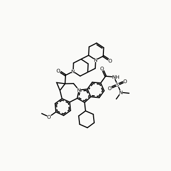 COc1ccc2c(c1)C1CC1(C(=O)N1CC3CC(C1)C1CC=CC(=O)N1C3)Cn1c-2c(C2CCCCC2)c2ccc(C(=O)NS(=O)(=O)N(C)C)cc21